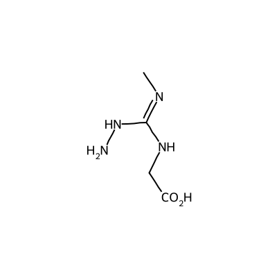 C/N=C(\NN)NCC(=O)O